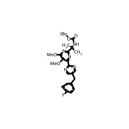 COc1nc(C(C)(C)NC(=O)OC(C)(C)C)nc(-c2ncc(Cc3ccc(F)cc3)cn2)c1OC